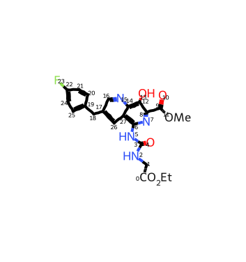 CCOC(=O)CNC(=O)Nc1nc(C(=O)OC)c(O)c2ncc(Cc3ccc(F)cc3)cc12